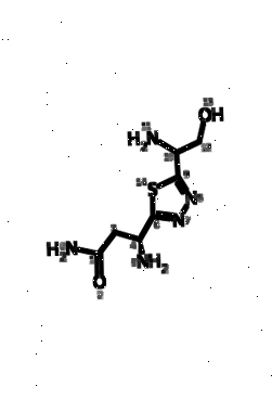 NC(=O)C[C@H](N)c1nnc(C(N)CO)s1